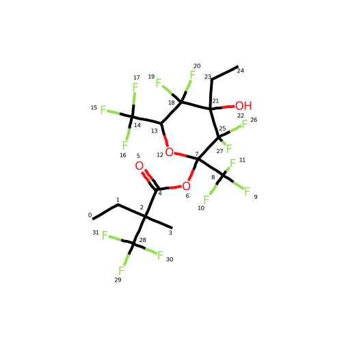 CCC(C)(C(=O)OC1(C(F)(F)F)OC(C(F)(F)F)C(F)(F)C(O)(CC)C1(F)F)C(F)(F)F